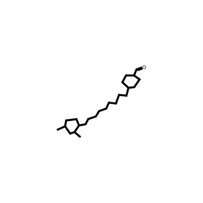 CC1CCC(CCCCCCCCCC2CCC(C=O)CC2)C(C)C1